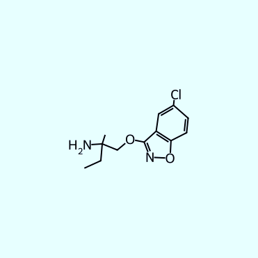 CCC(C)(N)COc1noc2ccc(Cl)cc12